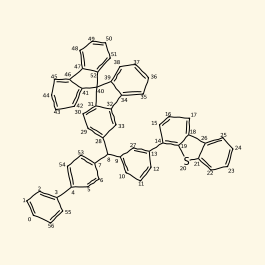 c1ccc(-c2ccc(C(c3cccc(-c4cccc5c4sc4ccccc45)c3)c3ccc4c(c3)-c3ccccc3C43c4ccccc4-c4ccccc43)cc2)cc1